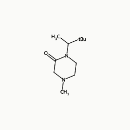 CC(N1CCN(C)CC1=O)C(C)(C)C